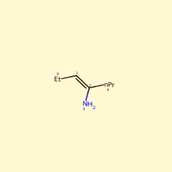 CCC=C(N)CCC